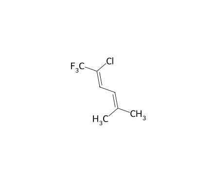 CC(C)=CC=C(Cl)C(F)(F)F